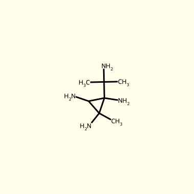 CC(C)(N)C1(N)C(N)C1(C)N